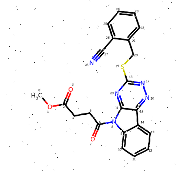 COC(=O)CCC(=O)n1c2ccccc2c2nnc(SCc3ccccc3C#N)nc21